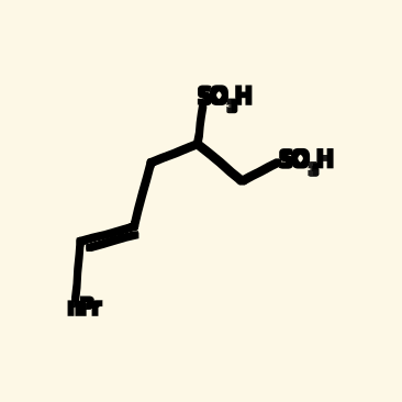 CCC/C=C/CC(CS(=O)(=O)O)S(=O)(=O)O